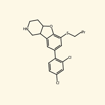 CC(C)CSc1cc(-c2ccc(Cl)cc2Cl)cc2c1OC1CCNCC21